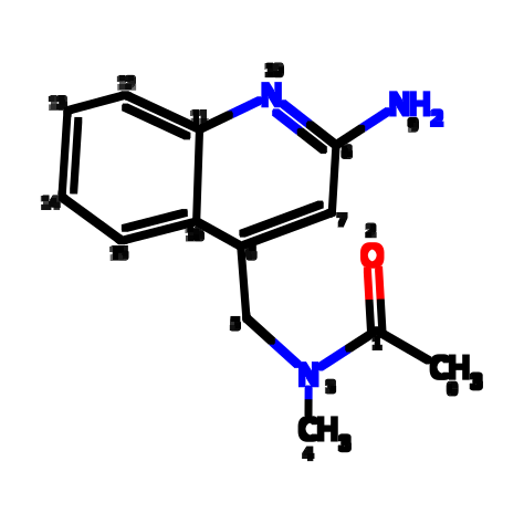 CC(=O)N(C)Cc1cc(N)nc2ccccc12